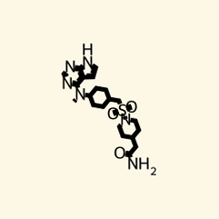 CN(c1ncnc2[nH]ccc12)C1CCC(CS(=O)(=O)N2CCC(CC(N)=O)CC2)CC1